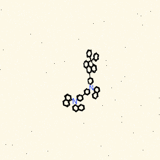 c1ccc(C2(c3ccccc3)c3cccc4cc(-c5ccc(N(c6ccc(-c7ccc(N(c8cccc9ccccc89)c8cccc9ccccc89)cc7)cc6)c6cccc7ccccc67)cc5)c5cccc2c5c34)cc1